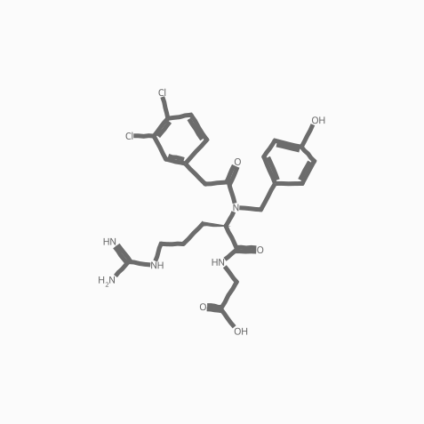 N=C(N)NCCC[C@H](C(=O)NCC(=O)O)N(Cc1ccc(O)cc1)C(=O)Cc1ccc(Cl)c(Cl)c1